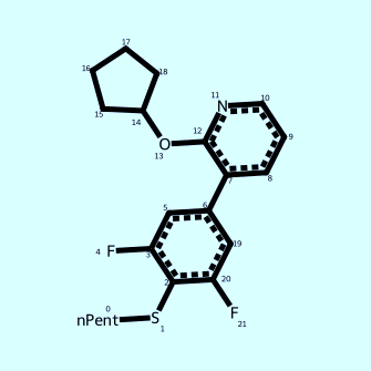 CCCCCSc1c(F)cc(-c2cccnc2OC2CCCC2)cc1F